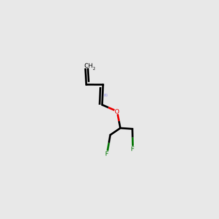 C=C/C=C/OC(CF)CF